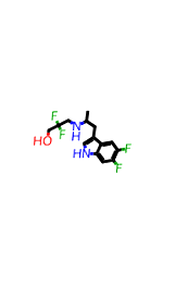 CC(Cc1c[nH]c2cc(F)c(F)cc12)NCC(F)(F)CO